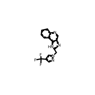 FC(F)(F)c1cnn(Cc2nc3cnc4ccccc4c3[nH]2)c1